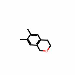 Cc1cc2c(cc1C)COCC2